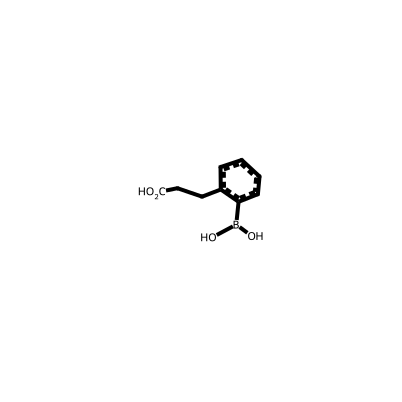 O=C(O)CCc1ccccc1B(O)O